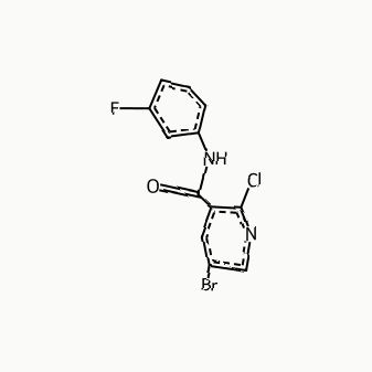 O=C(Nc1cccc(F)c1)c1cc(Br)cnc1Cl